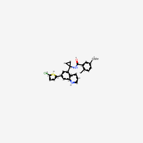 COc1ccc(C)c(C(=O)NC2(c3cc(-c4ccc(Cl)s4)cc4ncccc34)CC2)c1